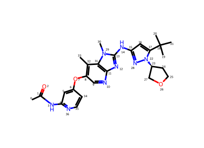 CC(=O)Nc1cc(Oc2cnc3nc(Nc4cc(C(C)(C)C)n([C@H]5CCOC5)n4)n(C)c3c2C)ccn1